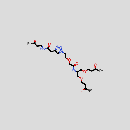 CC(C)C(=O)CCNC(=O)Cc1cn(CCOCC(=O)NC(COCCC(=O)C(C)C)COCCC(=O)C(C)C)nn1